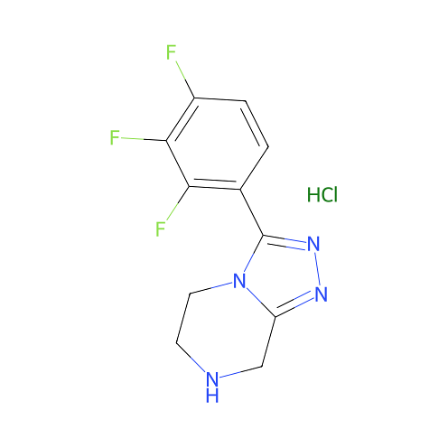 Cl.Fc1ccc(-c2nnc3n2CCNC3)c(F)c1F